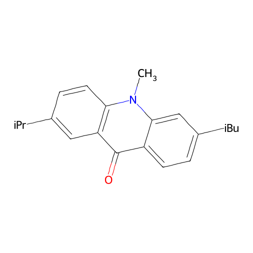 CCC(C)c1ccc2c(=O)c3cc(C(C)C)ccc3n(C)c2c1